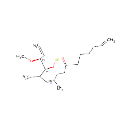 C=CCCCCC(=O)CC/C(C)=C\C(C)[C@H](OS)[C@H](C=C)OC